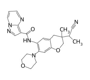 CC(C#N)C1(C)COc2cc(N3CCOCC3)c(NC(=O)c3cnn4cccnc34)cc2C1